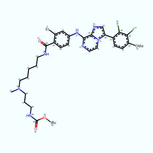 CCc1cc(Nc2nccn3c(-c4ccc(OC)c(F)c4F)cnc23)ccc1C(=O)NCCCCCN(C)CCCNC(=O)OC(C)(C)C